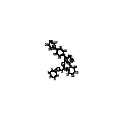 O=C(COc1ccccc1)N1CCCCC1c1nc(-c2ccc(-n3ccnc3)cc2)no1